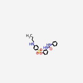 CCCCNc1ccc(S(=O)(=O)Oc2cccc(NC(=O)Nc3ccccc3)c2)cc1